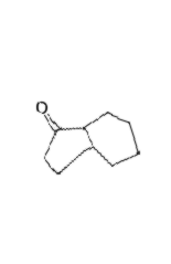 O=C1CCC2CCCCC12